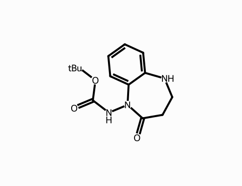 CC(C)(C)OC(=O)NN1C(=O)CCNc2ccccc21